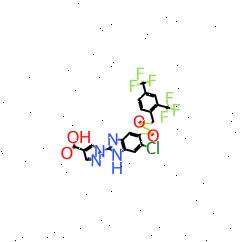 O=C(O)c1cnn(-c2nc3cc(S(=O)(=O)Cc4ccc(C(F)(F)F)cc4C(F)(F)F)c(Cl)cc3[nH]2)c1